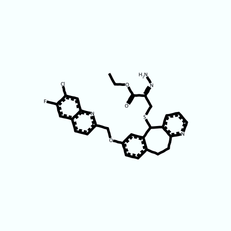 CCOC(=O)/C(CSC1c2cc(OCc3ccc4cc(F)c(Cl)cc4n3)ccc2CCc2ncccc21)=N\N